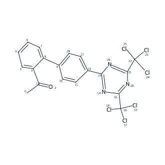 CC(=O)c1ccccc1-c1ccc(-c2nc(C(Cl)(Cl)Cl)nc(C(Cl)(Cl)Cl)n2)cc1